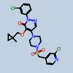 CC1(COc2c(N3CCN(S(=O)(=O)Cc4ccnc(Cl)c4)CC3)cnn(-c3cccc(Cl)c3)c2=O)CC1